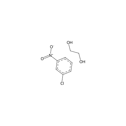 O=[N+]([O-])c1cccc(Cl)c1.OCCO